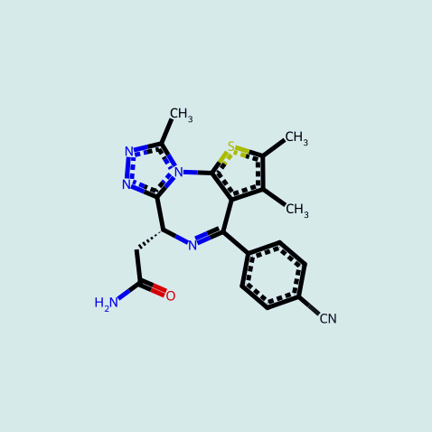 Cc1sc2c(c1C)C(c1ccc(C#N)cc1)=N[C@H](CC(N)=O)c1nnc(C)n1-2